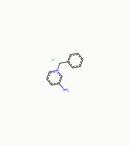 Nc1ccc[n+](Cc2ccccc2)c1.[Cl-]